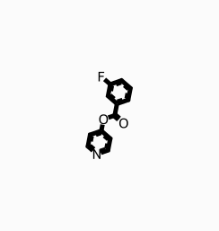 O=C(Oc1ccncc1)c1cccc(F)c1